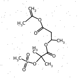 C=C(C)OC(=O)CC(C)OC(=O)C(C)(C)OS(C)(=O)=O